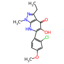 CCc1nn(C)c2[nH]c(-c3ccc(OC)cc3Cl)c(O)c(=O)c12